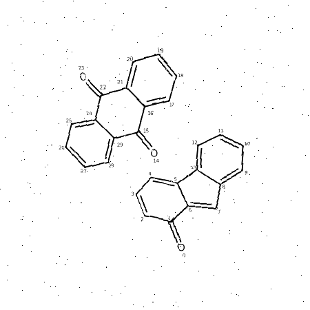 O=C1C=CC=C2C1=Cc1ccccc12.O=C1c2ccccc2C(=O)c2ccccc21